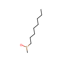 [CH2]CCCCCCC[S+](C)[O-]